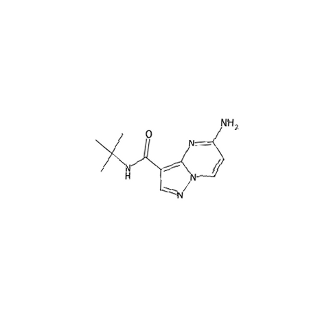 CC(C)(C)NC(=O)c1cnn2ccc(N)nc12